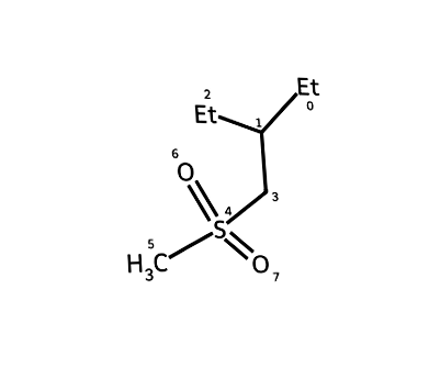 CCC(CC)CS(C)(=O)=O